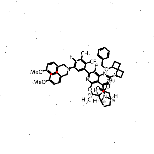 COc1ccc(CN(Cc2ccc(OC)cc2)c2cc(-c3nc4c5c(nc(N6CCC67CCC7OCc6ccccc6)nc5c3F)N3C[C@H]5CC[C@@H]([C@H]3[C@H](C)O4)N5C(=O)OC(C)(C)C)c(C(F)(F)F)c(C)c2F)cc1